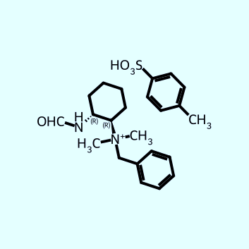 C[N+](C)(Cc1ccccc1)[C@@H]1CCCC[C@H]1NC=O.Cc1ccc(S(=O)(=O)O)cc1